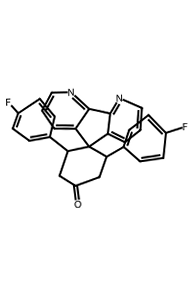 O=C1CC(c2ccc(F)cc2)C2(c3cccnc3-c3ncccc32)C(c2ccc(F)cc2)C1